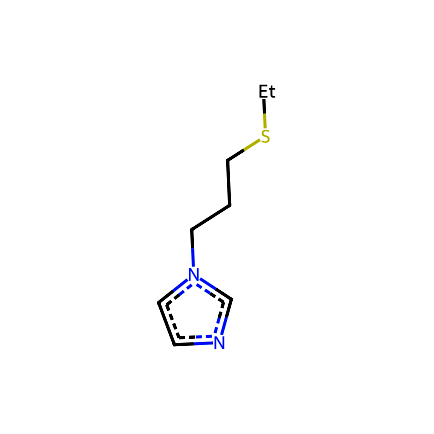 CCSCCCn1ccnc1